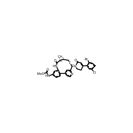 COC(=O)Nc1ccc2c(c1)NC(=O)[C@H](C)CCC[C@H](N1CCC(c3cc(Cl)ccc3Br)=CC1=O)c1cc-2ccn1